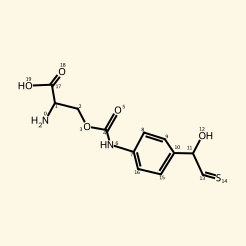 NC(COC(=O)Nc1ccc(C(O)[C]=S)cc1)C(=O)O